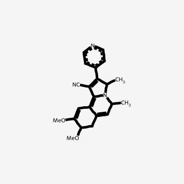 COC1=CC2=C3C(C#N)=C(c4ccncc4)C(C)N3C(C)C=C2CC1OC